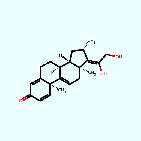 C[C@H]1C[C@H]2[C@@H]3CCC4=CC(=O)C=C[C@]4(C)C3=CC[C@]2(C)/C1=C(\O)CO